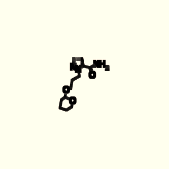 NC(=O)c1ccnn1CCCOC1CCCCO1